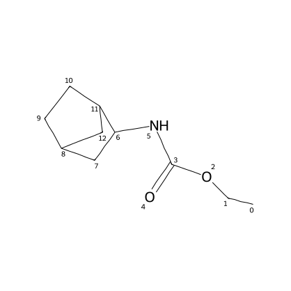 CCOC(=O)NC1CC2CCC1C2